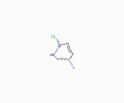 ClN1C=CC(I)=CN1